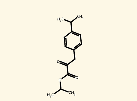 CC(C)OC(=O)C(=O)Cc1ccc(C(C)C)cc1